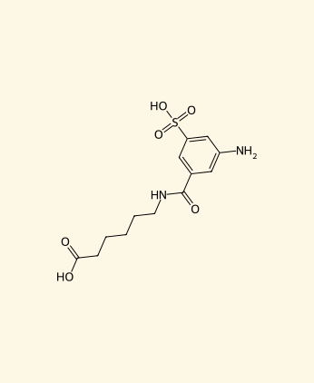 Nc1cc(C(=O)NCCCCCC(=O)O)cc(S(=O)(=O)O)c1